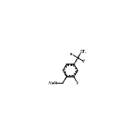 CNCc1ccc(C(F)(F)C(F)(F)F)cc1F